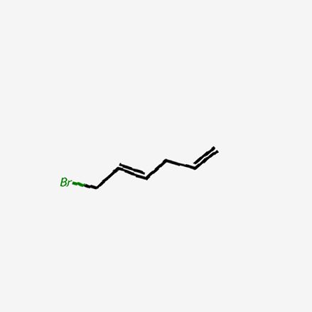 C=CCC=CCBr